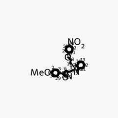 COc1ccc(-c2cc(-c3nc4ccccc4n3CCOc3ccc([N+](=O)[O-])cc3)no2)cc1